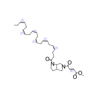 CC/C=C\C/C=C\C/C=C\C/C=C\C/C=C\C/C=C\CCC(=O)N1CCC2CN(C(=O)/C=C/C(=O)OC)CC21